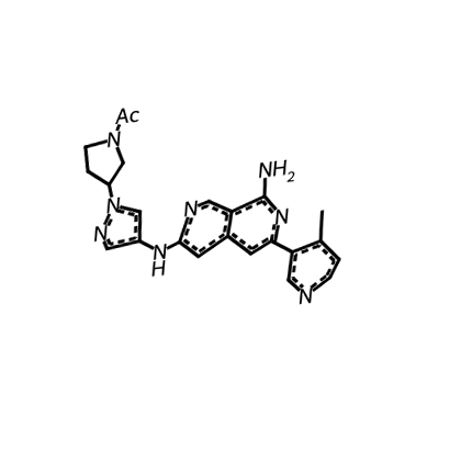 CC(=O)N1CCC(n2cc(Nc3cc4cc(-c5cnccc5C)nc(N)c4cn3)cn2)C1